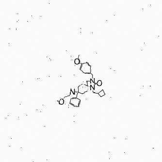 COCCN(C)[C@]1(c2ccccc2)CC[C@]2(CC1)CN(Cc1ccc(OC)cc1)C(=O)N2CC1CCC1